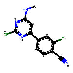 CNc1cc(-c2ccc(C#N)c(F)c2)nc(Cl)n1